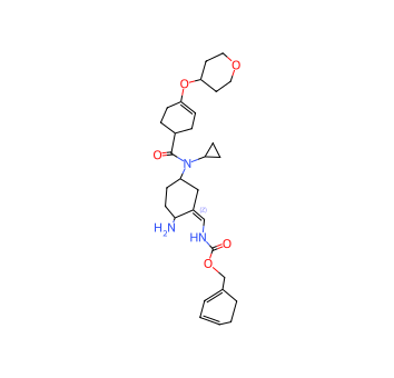 NC1CCC(N(C(=O)C2CC=C(OC3CCOCC3)CC2)C2CC2)C/C1=C/NC(=O)OCC1=CC=CCC1